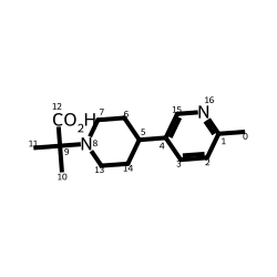 Cc1ccc(C2CCN(C(C)(C)C(=O)O)CC2)cn1